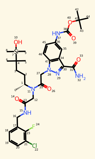 C[C@H](CCC(C)(C)[Si](C)(C)O)N(CC(=O)NCc1cccc(Cl)c1F)C(=O)Cn1nc(C(N)=O)c2cc(NC(=O)OC(C)(C)C)ccc21